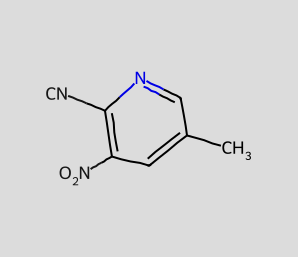 [C-]#[N+]c1ncc(C)cc1[N+](=O)[O-]